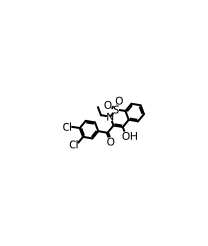 CCN1C(C(=O)c2ccc(Cl)c(Cl)c2)=C(O)c2ccccc2S1(=O)=O